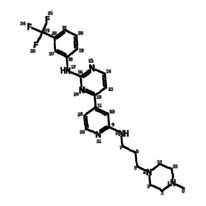 CN1CCN(CCCNc2cc(-c3ccnc(Nc4cccc(C(F)(F)F)c4)n3)ccn2)CC1